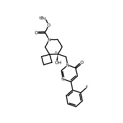 CC(C)(C)OC(=O)N1CC[C@](O)(Cn2cnc(-c3ccccc3F)cc2=O)C2(CCC2)C1